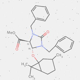 COC(=O)[C@@H]1[C@@H](OC23CC(C)CCC2C3(C)C)N(Cc2ccccc2)C(=O)N1Cc1ccccc1